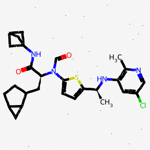 Cc1ncc(Cl)cc1N[C@@H](C)c1ccc(N(C=O)[C@@H](CC2CCC3CC32)C(=O)NC23CC(C2)C3)s1